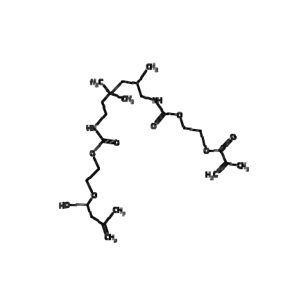 C=C(C)CC(O)OCCOC(=O)NCCC(C)(C)CC(C)CNC(=O)OCCOC(=O)C(=C)C